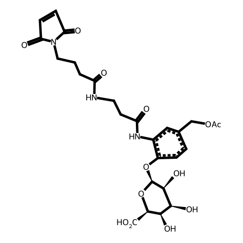 CC(=O)OCc1ccc(O[C@@H]2O[C@H](C(=O)O)[C@H](O)[C@H](O)[C@@H]2O)c(NC(=O)CCNC(=O)CCCN2C(=O)C=CC2=O)c1